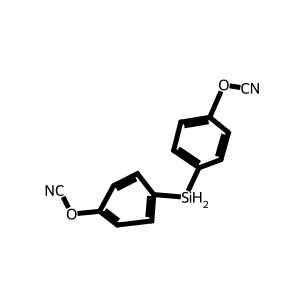 N#COc1ccc([SiH2]c2ccc(OC#N)cc2)cc1